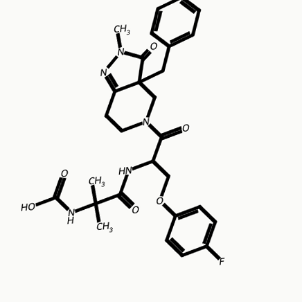 CN1N=C2CCN(C(=O)C(COc3ccc(F)cc3)NC(=O)C(C)(C)NC(=O)O)CC2(Cc2ccccc2)C1=O